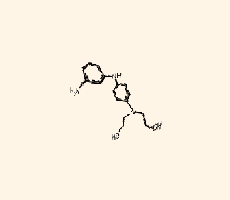 Nc1cccc(Nc2ccc(N(CCO)CCO)cc2)c1